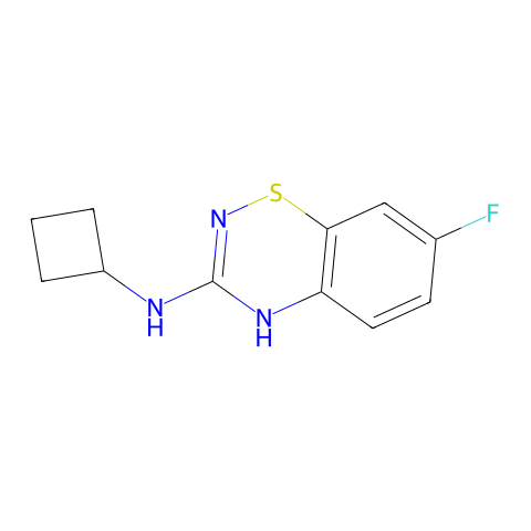 Fc1ccc2c(c1)SN=C(NC1CCC1)N2